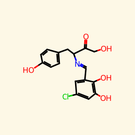 O=C(CO)C(Cc1ccc(O)cc1)N=Cc1cc(Cl)cc(O)c1O